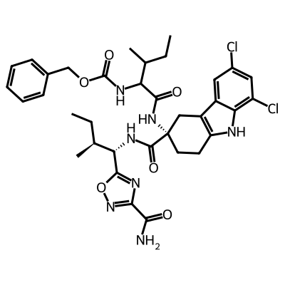 CCC(C)C(NC(=O)OCc1ccccc1)C(=O)N[C@@]1(C(=O)N[C@H](c2nc(C(N)=O)no2)[C@@H](C)CC)CCc2[nH]c3c(Cl)cc(Cl)cc3c2C1